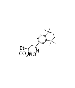 CCC(CC(=NO)c1ccc2c(c1)C(C)(C)CCC2(C)C)C(=O)O